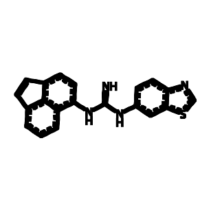 N=C(Nc1ccc2ncsc2c1)Nc1ccc2c3c(cccc13)C=C2